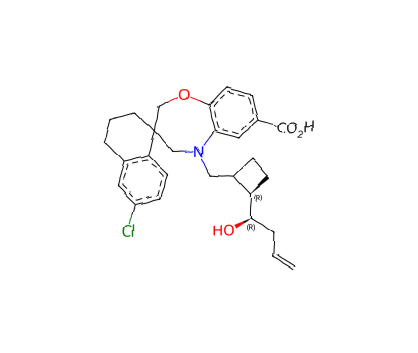 C=CC[C@@H](O)[C@@H]1CCC1CN1CC2(CCCc3cc(Cl)ccc32)COc2ccc(C(=O)O)cc21